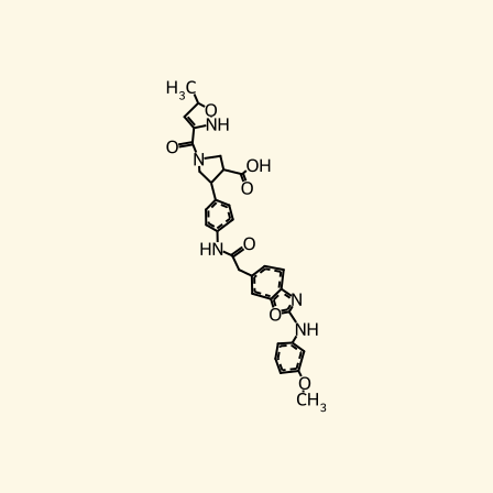 COc1cccc(Nc2nc3ccc(CC(=O)Nc4ccc(C5CN(C(=O)C6=CC(C)ON6)CC5C(=O)O)cc4)cc3o2)c1